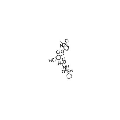 Cc1nc2c(OCc3c(Cl)ccc(N(C)C(=O)CNC(=O)NC4CCCCC4)c3Cl)cccn2c1Cl.Cl